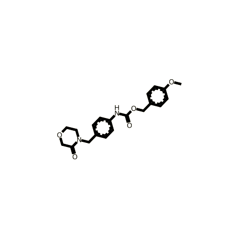 COc1ccc(COC(=O)Nc2ccc(CN3CCOCC3=O)cc2)cc1